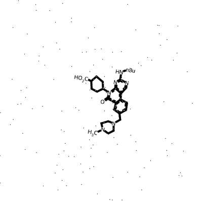 CCCCNc1ncc2c3ccc(CN4CCN(C)CC4)cc3c(=O)n(C3CCC(C(=O)O)CC3)c2n1